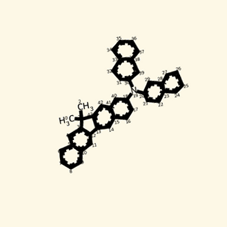 CC1(C)c2cc3ccccc3cc2-c2cc3ccc(N(c4ccc5ccccc5c4)c4ccc5ccccc5c4)cc3cc21